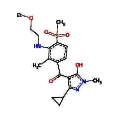 CCOCCNc1c(S(C)(=O)=O)ccc(C(=O)c2c(C3CC3)nn(C)c2O)c1C